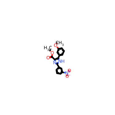 CCOC(=O)c1nc(-c2cccc([N+](=O)[O-])c2)[nH]c1-c1cccc(OC)c1